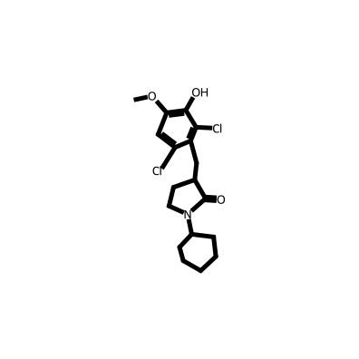 COc1cc(Cl)c(CC2CCN(C3CCCCC3)C2=O)c(Cl)c1O